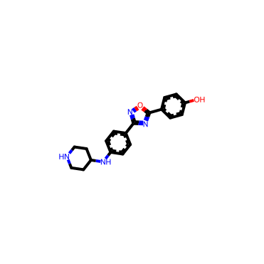 Oc1ccc(-c2nc(-c3ccc(NC4CCNCC4)cc3)no2)cc1